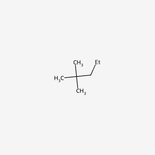 [C]CCC(C)(C)C